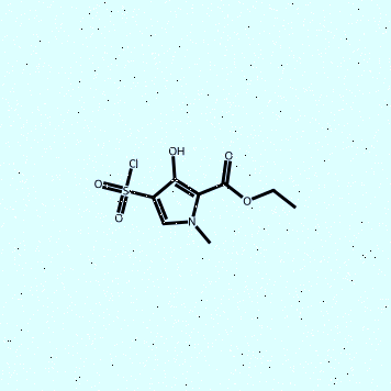 CCOC(=O)c1c(O)c(S(=O)(=O)Cl)cn1C